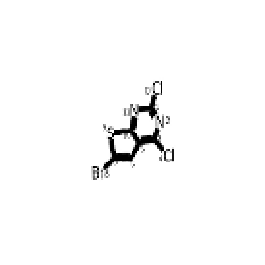 Clc1nc(Cl)c2cc(Br)sc2n1